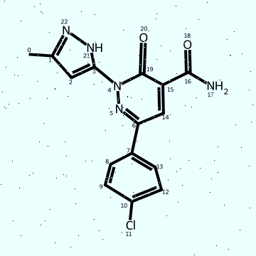 Cc1cc(-n2nc(-c3ccc(Cl)cc3)cc(C(N)=O)c2=O)[nH]n1